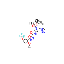 CC(C)(C)OC(=O)N1CC(NC(=O)c2nnc(-c3cc(OC(F)(F)F)ccc3OC3CC3)o2)CC1Cn1ccnn1